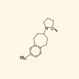 C[C@@H]1CCCN1C1CCc2ccc(C(C)(C)C)cc2CC1